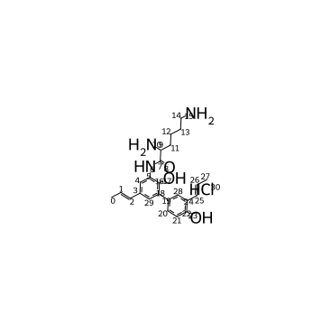 CC=Cc1cc(NC(=O)C(N)CCCCN)c(O)c(-c2ccc(O)c(C=CC)c2)c1.Cl